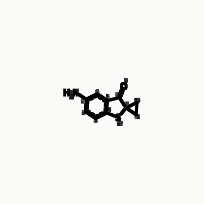 Nc1ccc2c(c1)C(=O)C1(CC1)S2